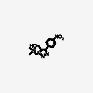 C[Si](C)(C)Cn1nnc(-c2ccc([N+](=O)[O-])cc2)c1CO